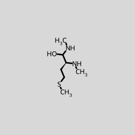 CNC(O)[C@H](CCSC)NC